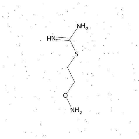 N=C(N)SCCON